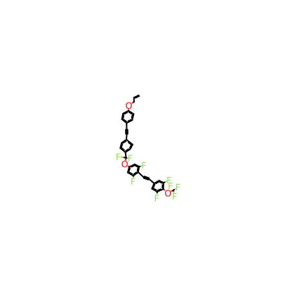 C=CCOc1ccc(C#Cc2ccc(C(F)(F)Oc3cc(F)c(C#Cc4cc(F)c(OC(F)(F)F)c(F)c4)c(F)c3)cc2)cc1